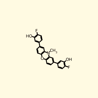 CN1c2cc(-c3ccc(F)c(O)c3)ccc2Oc2ccc(-c3ccc(F)c(O)c3)cc21